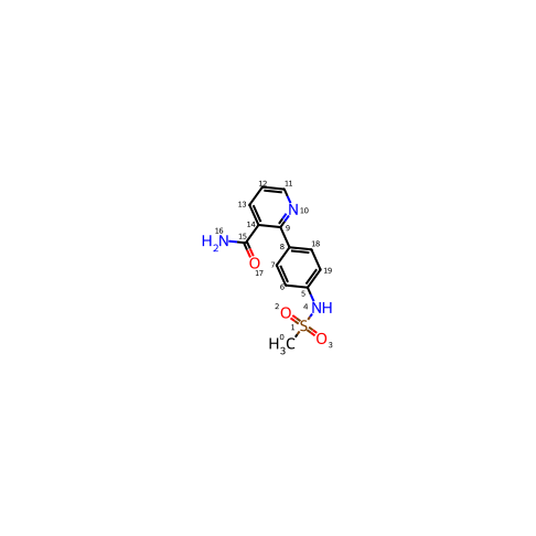 CS(=O)(=O)Nc1ccc(-c2ncccc2C(N)=O)cc1